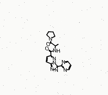 CC(NC(=O)c1ccc2nnc(-c3ncccn3)n2n1)C(=O)N1CCCC1